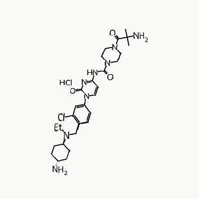 CCN(Cc1ccc(-n2ccc(NC(=O)N3CCN(C(=O)C(C)(C)N)CC3)nc2=O)cc1Cl)[C@H]1CC[C@H](N)CC1.Cl